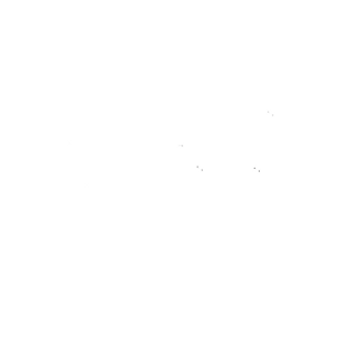 CC(C)OCC(=O)Nc1cnccn1